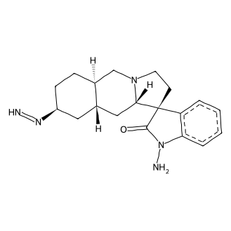 N=N[C@H]1CC[C@H]2CN3CC[C@@]4(C(=O)N(N)c5ccccc54)[C@@H]3C[C@@H]2C1